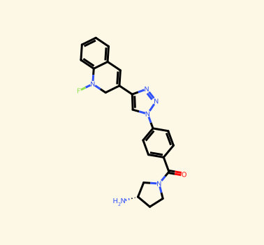 N[C@H]1CCN(C(=O)c2ccc(-n3cc(C4=Cc5ccccc5N(F)C4)nn3)cc2)C1